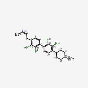 CC/C=C\Cc1ccc(-c2ccc(C3CCC(CCC)CC3)c(F)c2F)c(F)c1F